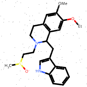 CCOc1cc2c(cc1OC)CCN(CC[S+](C)[O-])C2Cc1c[nH]c2ccccc12